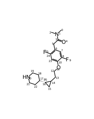 CN(C)C(=O)Cc1cc(F)c(OCCC2C[C@@H]2C2CCNCC2)cc1F